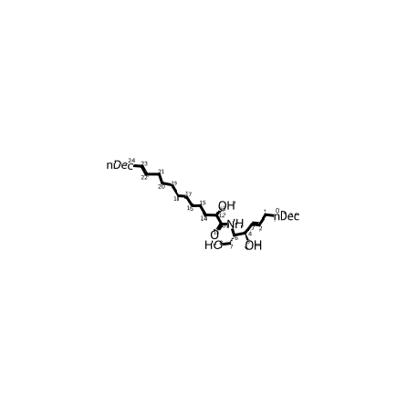 CCCCCCCCCCC/C=C/[C@@H](O)[C@H](CO)NC(=O)C(O)CCCCCCCCCCCCCCCCCCCC